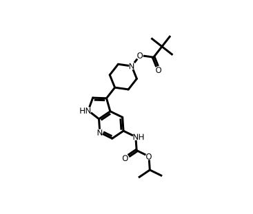 CC(C)OC(=O)Nc1cnc2[nH]cc(C3CCN(OC(=O)C(C)(C)C)CC3)c2c1